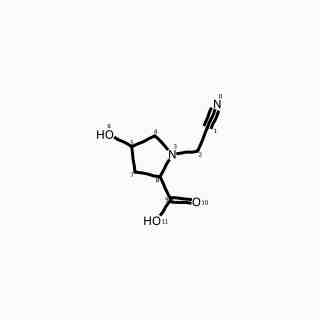 N#CCN1CC(O)CC1C(=O)O